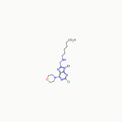 CCn1c(CNCCCCCC(=O)O)nc2c(N3CCOCC3)nc(Cl)nc21